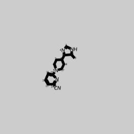 CC1NC=NC1C1CCN(c2cccc(C#N)n2)CC1